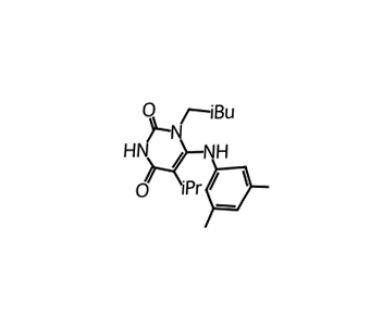 CCC(C)Cn1c(Nc2cc(C)cc(C)c2)c(C(C)C)c(=O)[nH]c1=O